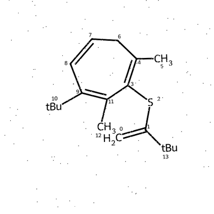 C=C(SC1=C(C)CC=CC(C(C)(C)C)=C1C)C(C)(C)C